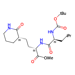 COC(=O)[C@H](CC[C@@H]1CCCNC1=O)NC(=O)[C@H](CC(C)C)NC(=O)OC(C)(C)C